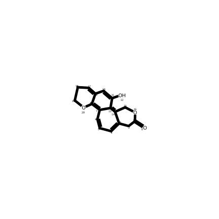 O=C1CC2=CC=Cc3c4c(cc(O)c3=C2CO1)=CCCO4